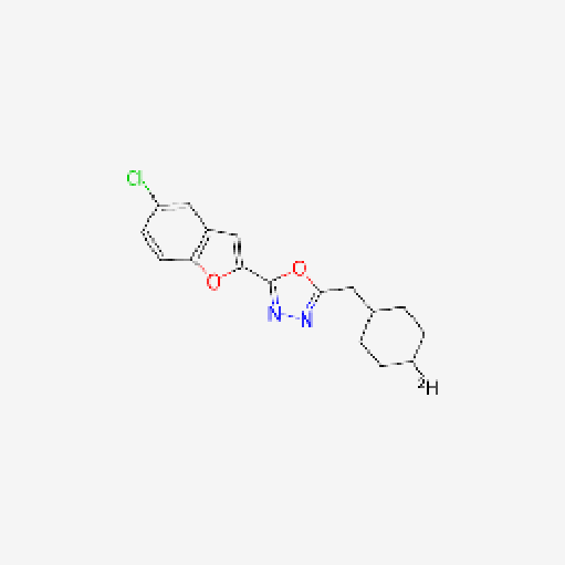 [2H]C1CCC(Cc2nnc(-c3cc4cc(Cl)ccc4o3)o2)CC1